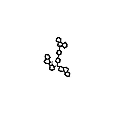 c1ccc2c(c1)ccc1cc(N(c3ccc(-c4ccc(-c5cc6ccccc6c6ccccc56)cc4)cc3)c3cccc4c3sc3c5ccccc5ccc43)ccc12